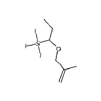 C=C(C)COC(CC)[Si](I)(I)I